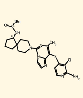 Cc1nc(N2CCC3(CCC[C@H]3N[S+]([O-])C(C)(C)C)CC2)n2ccnc2c1Sc1ccnc(N)c1Cl